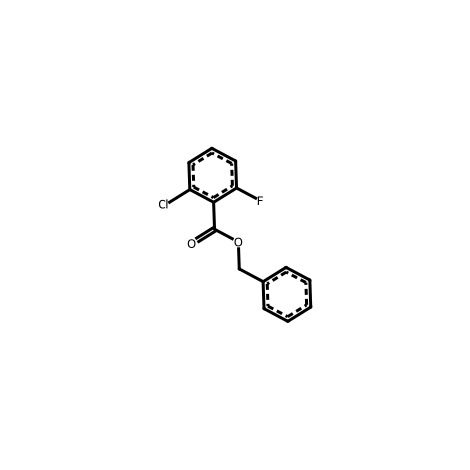 O=C(OCc1ccccc1)c1c(F)cccc1Cl